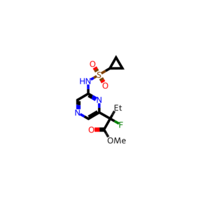 CCC(F)(C(=O)OC)c1cncc(NS(=O)(=O)C2CC2)n1